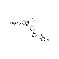 O=C(O)COc1ccc2c(c1)nc(CN1CCC(c3cccc(OCc4ccc(Cl)cc4F)n3)CC1)n2CC1CCO1